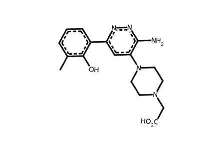 Cc1cccc(-c2cc(N3CCN(CC(=O)O)CC3)c(N)nn2)c1O